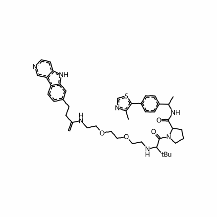 C=C(CCc1ccc2c(c1)[nH]c1ccncc12)NCCOCCOCCNC(C(=O)N1CCCC1C(=O)NC(C)c1ccc(-c2scnc2C)cc1)C(C)(C)C